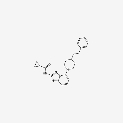 O=C(Nc1nc2cccc(N3CCC(CCc4ccccc4)CC3)n2n1)C1CC1